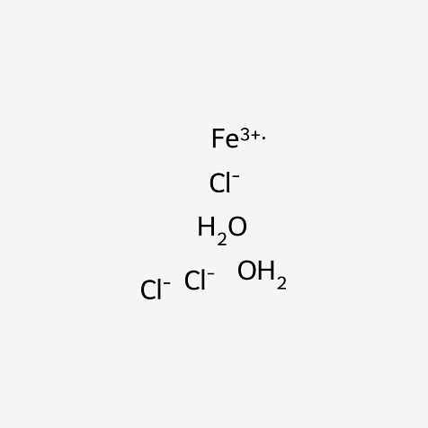 O.O.[Cl-].[Cl-].[Cl-].[Fe+3]